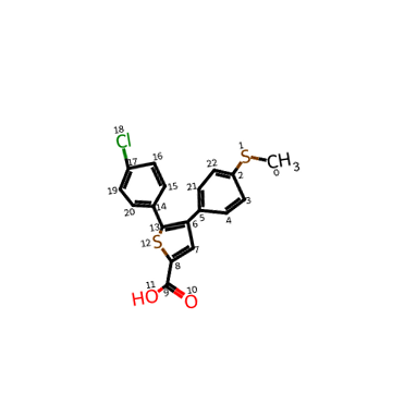 CSc1ccc(-c2cc(C(=O)O)sc2-c2ccc(Cl)cc2)cc1